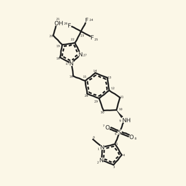 Cn1nccc1S(=O)(=O)N[C@@H]1Cc2ccc(Cn3cc(CO)c(C(F)(F)F)n3)cc2C1